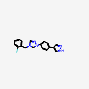 Fc1ccccc1CN1C=NN(c2ccc(-c3cn[nH]c3)cc2)C1